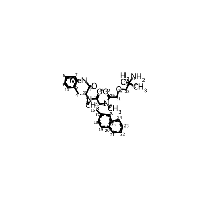 CNC(=O)[C@@H](Cc1ccccc1)N(C)C(=O)[C@@H](Cc1ccc2ccccc2c1)N(C)C(=O)COCC(C)(C)N